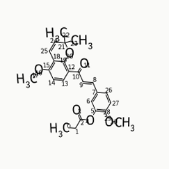 CCC(=O)Oc1cc(/C=C/C(=O)c2ccc(OC)c3c2OC(C)(C)C=C3)ccc1OC